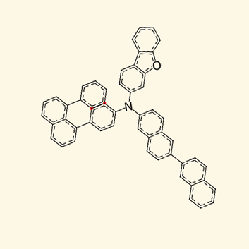 c1ccc(-c2cccc3cccc(-c4ccc(N(c5ccc6cc(-c7ccc8ccccc8c7)ccc6c5)c5ccc6c(c5)oc5ccccc56)cc4)c23)cc1